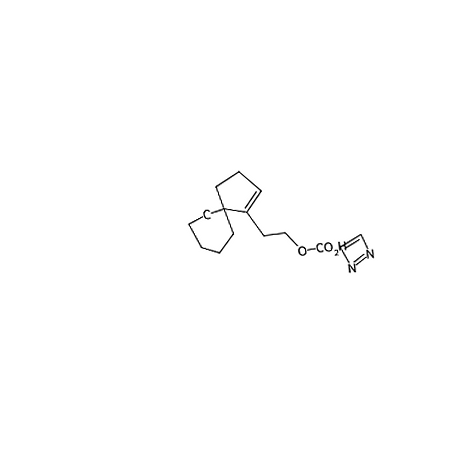 C1=CN=N1.O=C(O)OCCC1=CCCC12CCCCC2